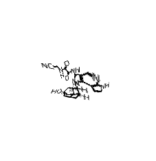 N#CCNC(=O)C(=O)Nc1nn([C@H]2[C@@H]3CC4C[C@H]2C[C@@](O)(C4)C3)c2c1cnc1[nH]ccc12